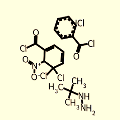 CC(C)(C)NN.Cl.O=C(Cl)C1=CC=CC(Cl)(Cl)C1[N+](=O)[O-].O=C(Cl)c1ccccc1